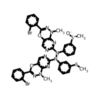 CSc1cccc(N(c2ncc3c(n2)N(C)N=C(c2ccccc2Br)O3)N(c2cccc([S+](C)[O-])c2)c2ncc3c(n2)N(C)N=C(c2ccccc2Br)O3)c1